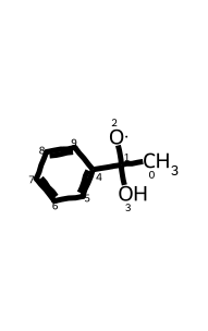 CC([O])(O)c1ccccc1